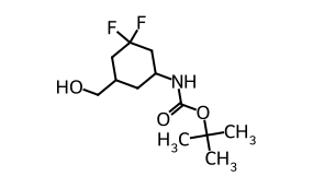 CC(C)(C)OC(=O)NC1CC(CO)CC(F)(F)C1